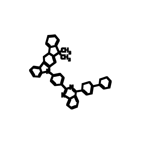 CC1(C)C2=Cc3c(c4ccccc4n3-c3ccc(-c4nc(C5=CC=C(C6=CC=CCC6)CC5)c5ccccc5n4)cc3)CC2c2ccccc21